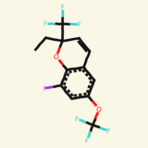 CCC1(C(F)(F)F)C=Cc2cc(OC(F)(F)F)cc(I)c2O1